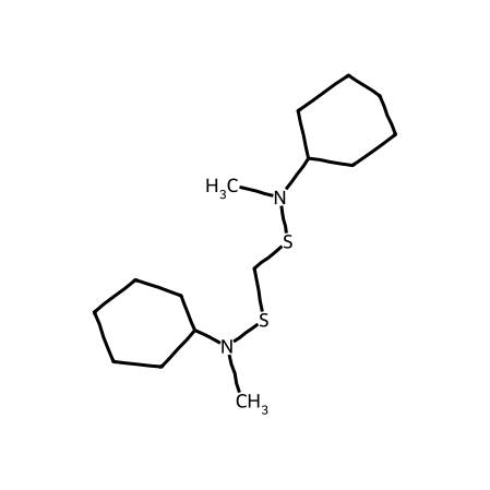 CN(SCSN(C)C1CCCCC1)C1CCCCC1